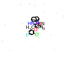 C[S+]([O-])C12CC3CC(C1)C(N(C#N)C(=N)C(C)(C)Oc1ccc(F)cc1Cl)C(C3)C2